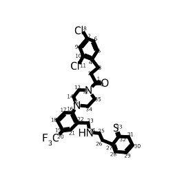 O=C(CCc1ccc(Cl)cc1Cl)N1CCN(c2ccc(C(F)(F)F)cc2CNCCC2=CC=CCC2=S)CC1